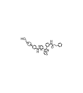 O=C(CCc1ccccc1)Nc1cccc(-c2nc3sccn3c2-c2ccnc(Nc3ccc(N4CCN(CCO)CC4)cc3)n2)c1